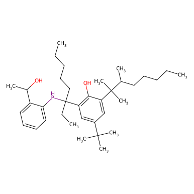 CCCCCC(C)C(C)(C)c1cc(C(C)(C)C)cc(C(CC)(CCCCC)Pc2ccccc2C(C)O)c1O